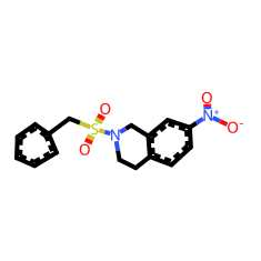 O=[N+]([O-])c1ccc2c(c1)CN(S(=O)(=O)Cc1ccccc1)CC2